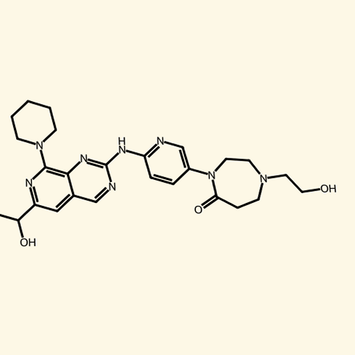 CC(O)c1cc2cnc(Nc3ccc(N4CCN(CCO)CCC4=O)cn3)nc2c(N2CCCCC2)n1